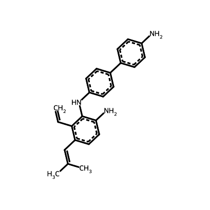 C=Cc1c(C=C(C)C)ccc(N)c1Nc1ccc(-c2ccc(N)cc2)cc1